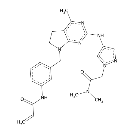 C=CC(=O)Nc1cccc(CN2CCc3c(C)nc(Nc4cnn(CC(=O)N(C)C)c4)nc32)c1